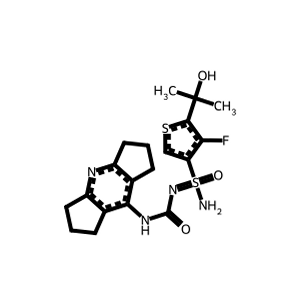 CC(C)(O)c1scc(S(N)(=O)=NC(=O)Nc2c3c(nc4c2CCC4)CCC3)c1F